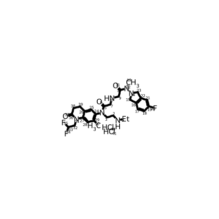 CCNCCN(C(=O)CNCC(=O)N(C)N1Cc2ccc(F)cc2C1)c1cc2c(cc1C)N(CC(F)F)C(=O)CC2.Cl.Cl